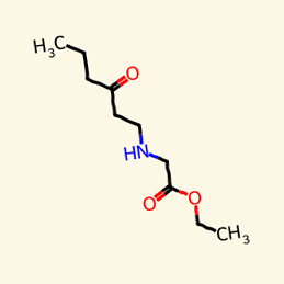 CCCC(=O)CCNCC(=O)OCC